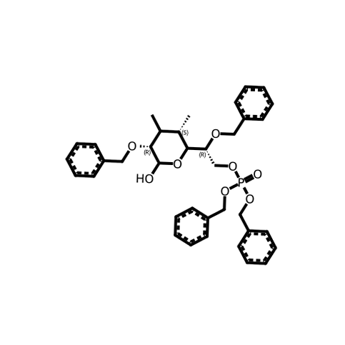 CC1[C@H](C)C([C@@H](COP(=O)(OCc2ccccc2)OCc2ccccc2)OCc2ccccc2)OC(O)[C@@H]1OCc1ccccc1